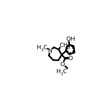 CCOC(=O)C1(c2cccc(O)c2)CCCN(C)CC1C